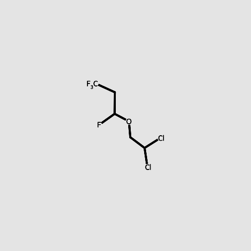 FC(CC(F)(F)F)OCC(Cl)Cl